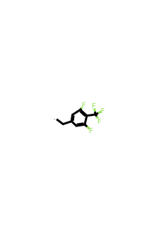 [CH2]Cc1cc(F)c(C(F)(F)F)c(F)c1